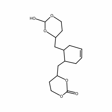 O=C1OCCC(CC2CC=CCC2CC2CCOC(O)O2)O1